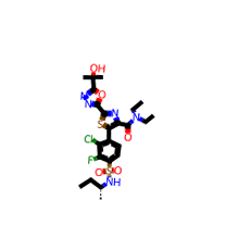 CC[C@@H](C)NS(=O)(=O)c1ccc(-c2sc(-c3nnc(C(C)(C)O)o3)nc2C(=O)N(CC)CC)c(Cl)c1F